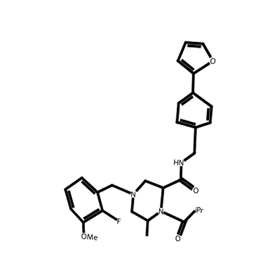 COc1cccc(CN2CC(C)N(C(=O)C(C)C)C(C(=O)NCc3ccc(-c4ccco4)cc3)C2)c1F